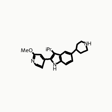 COc1cc(-c2[nH]c3ccc(C4CCNCC4)cc3c2C(C)C)ccn1